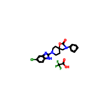 O=C(O)C(F)(F)F.O=C1OC2(CCN(c3nc4cc(Cl)ccc4[nH]3)CC2)CN1c1ccccc1